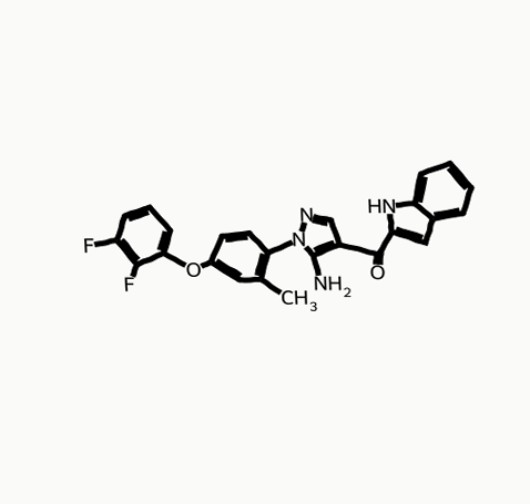 Cc1cc(Oc2cccc(F)c2F)ccc1-n1ncc(C(=O)c2cc3ccccc3[nH]2)c1N